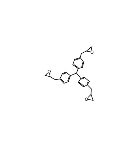 c1cc(C(c2ccc(CC3CO3)cc2)c2ccc(CC3CO3)cc2)ccc1CC1CO1